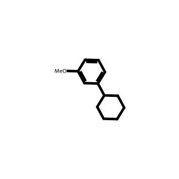 COc1cccc(C2CCCCC2)c1